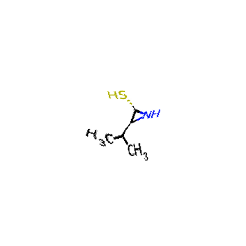 CC(C)[C@@H]1N[C@H]1S